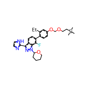 CCc1cc(OCOCC[Si](C)(C)C)ccc1-c1ccc2c(-c3ncc[nH]3)nn(C3CCCCO3)c2c1F